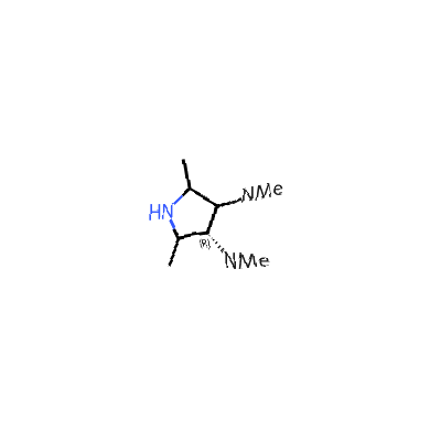 CNC1C(C)NC(C)[C@H]1NC